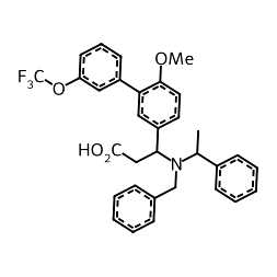 COc1ccc(C(CC(=O)O)N(Cc2ccccc2)C(C)c2ccccc2)cc1-c1cccc(OC(F)(F)F)c1